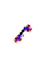 COC(=O)N[C@H](C(=O)N1CC2(C[C@H]1c1ncc(-c3ccc(-c4ccc(-c5cnc([C@@H]6CC7(CN6C(=O)[C@@H](NC(=O)OC)C(C)C)OCCO7)[nH]5)cc4)cc3)[nH]1)OCCO2)C(C)C